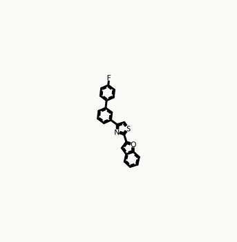 Fc1ccc(-c2cccc(-c3csc(-c4cc5ccccc5o4)n3)c2)cc1